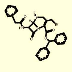 O=C(Cc1ccccc1)NC1C(=O)N2C(C(=O)OC(c3ccccc3)c3ccccc3)=C(CBr)C[S+]([O-])[C@@H]12